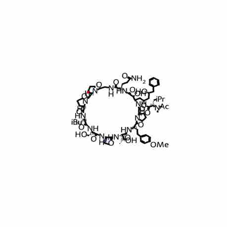 C/C=C1/NC(=O)[C@H](CO)NC(=O)[C@@H]([C@@H](C)CC)NC(=O)[C@@H]2CCCN2C(=O)[C@@H]2CCCN2C(=O)CNC(=O)[C@@H](CCC(N)=O)NC(=O)C(O)C(CC(CC(O)Cc2ccccc2)OC(=O)[C@H](CC(C)C)N(C)C(C)=O)NC(=O)[C@@H]2CCCN2C(=O)[C@@H](CCc2ccc(OC)cc2)NC(=O)[C@H]([C@@H](C)O)NC1=O